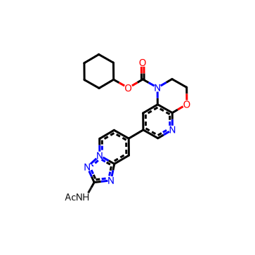 CC(=O)Nc1nc2cc(-c3cnc4c(c3)N(C(=O)OC3CCCCC3)CCO4)ccn2n1